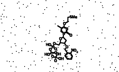 CSCCOc1nc(=O)n(C2CC(OCc3ccccc3[N+](=O)[O-])C(COP(=O)(O)OP(=O)(O)OP(=O)(O)O)O2)cc1C